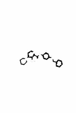 CSc1c(N2CCCCC2)ccnc1C(=O)Nc1ccc(OCc2ccccc2)cc1